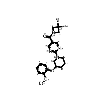 CCOc1ccccc1OC1CCCN(c2ncc(C(=O)N3CC(F)(F)C3)cn2)C1